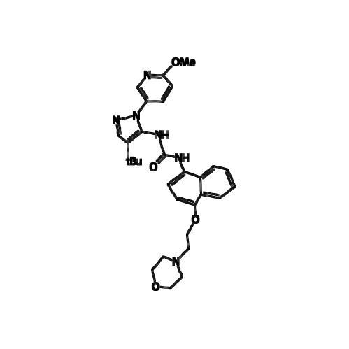 COc1ccc(-n2ncc(C(C)(C)C)c2NC(=O)Nc2ccc(OCCN3CCOCC3)c3ccccc23)cn1